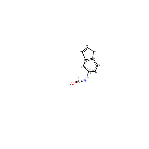 O=C=Nc1ccc2c(c1)C=CC2